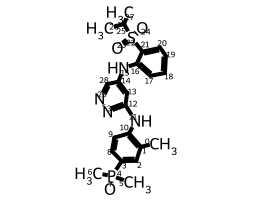 Cc1cc(P(C)(C)=O)ccc1Nc1cc(Nc2ccccc2S(=O)(=O)C(C)C)cnn1